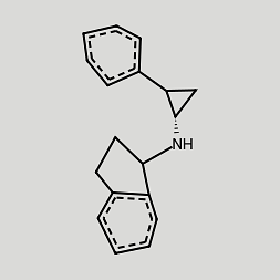 c1ccc(C2C[C@@H]2NC2CCc3ccccc32)cc1